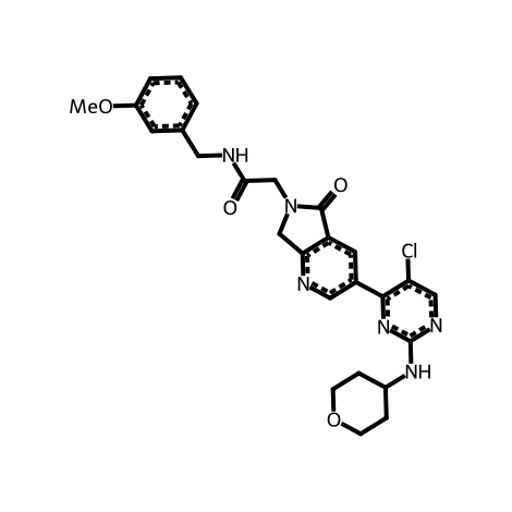 COc1cccc(CNC(=O)CN2Cc3ncc(-c4nc(NC5CCOCC5)ncc4Cl)cc3C2=O)c1